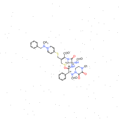 CCN1CCN(N(C=O)[C@@H](C(=O)N[C@]2(NC=O)C(=O)N3C(C(=O)[O-])=C(CSc4cc[n+](N(C)Cc5ccccc5)cc4)CS[C@@H]32)c2ccccc2)C(=O)C1=O